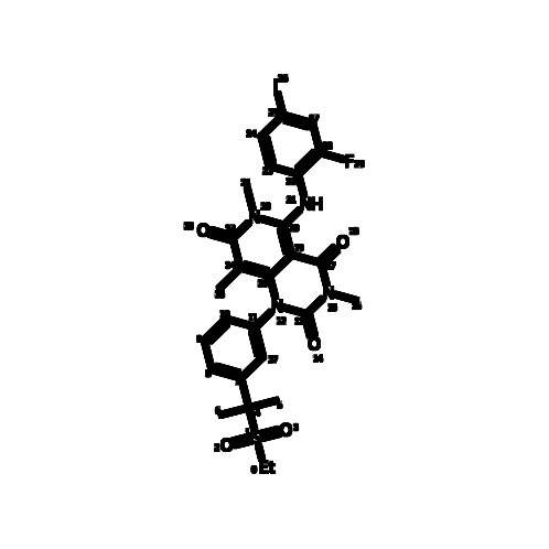 CCS(=O)(=O)C(C)(C)c1cccc(-n2c(=O)n(C)c(=O)c3c(Nc4ccc(I)cc4F)n(C)c(=O)c(C)c32)c1